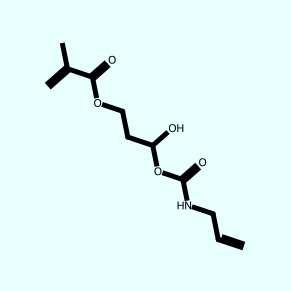 C=CCNC(=O)OC(O)CCOC(=O)C(=C)C